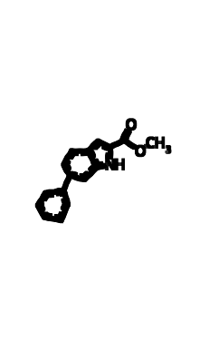 COC(=O)c1cc2ccc(-c3ccccc3)cc2[nH]1